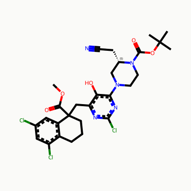 COC(=O)C1(Cc2nc(Cl)nc(N3CCN(C(=O)OC(C)(C)C)[C@@H](CC#N)C3)c2O)CCCc2c(Cl)cc(Cl)cc21